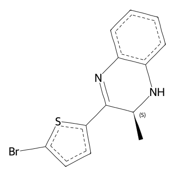 C[C@@H]1Nc2ccccc2N=C1c1ccc(Br)s1